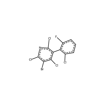 Fc1cccc(Cl)c1-c1c(Cl)nc(Cl)c(Br)c1Cl